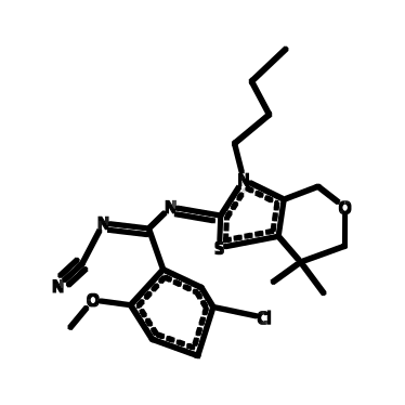 CCCCn1c2c(s/c1=N\C(=N\C#N)c1cc(Cl)ccc1OC)C(C)(C)COC2